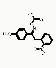 CC(=O)ON=C(Cc1ccccc1[N+](=O)[O-])c1ccc(C)cc1